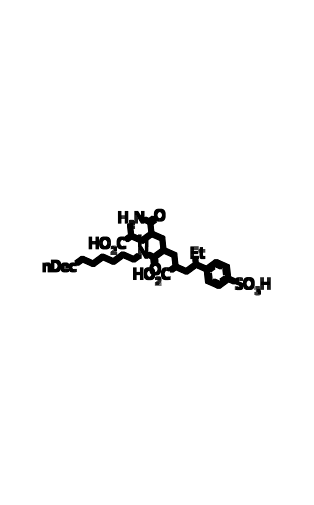 CCCCCCCCCCCCCCCCNC(=O)C(CC(CC(C)C(=O)O)C(N)=O)CC(CC(CC)c1ccc(S(=O)(=O)O)cc1)C(=O)O